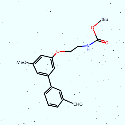 COc1cc(OCCNC(=O)OC(C)(C)C)cc(-c2cccc(C=O)c2)c1